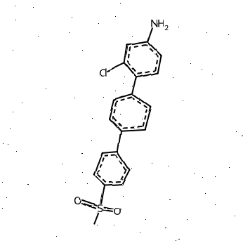 CS(=O)(=O)c1ccc(-c2ccc(-c3ccc(N)cc3Cl)cc2)cc1